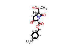 C[C@@H](O)[C@H]1C(=O)N2[C@@H](C(=O)OCc3ccc([N+](=O)[O-])cc3)C(=O)C[C@H]12